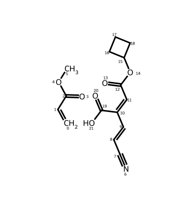 C=CC(=O)OC.N#CC=C/C(=C/C(=O)OC1CCC1)C(=O)O